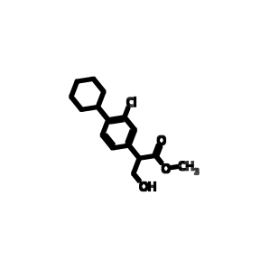 COC(=O)C(CO)c1ccc(C2CCCCC2)c(Cl)c1